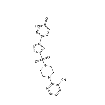 N#Cc1cccnc1N1CCN(S(=O)(=O)c2ccc(-c3ccc(=O)[nH]n3)s2)CC1